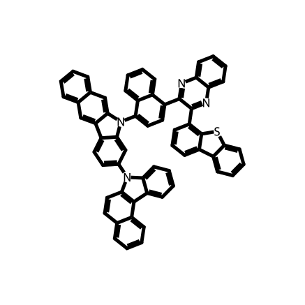 c1ccc2cc3c(cc2c1)c1ccc(-n2c4ccccc4c4c5ccccc5ccc42)cc1n3-c1ccc(-c2nc3ccccc3nc2-c2cccc3c2sc2ccccc23)c2ccccc12